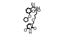 CC[C@@H](NS(=O)(=O)CCCOCn1ccc(=O)[nH]c1=O)c1cccc(OC2CCCC2)c1